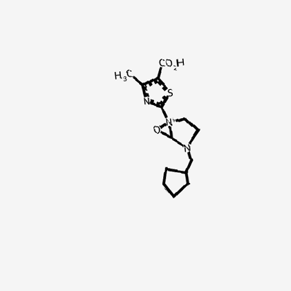 Cc1nc([N+]23CCN(CC4CCCC4)C2O3)sc1C(=O)O